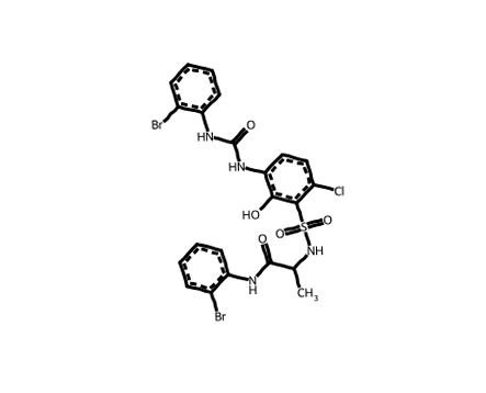 CC(NS(=O)(=O)c1c(Cl)ccc(NC(=O)Nc2ccccc2Br)c1O)C(=O)Nc1ccccc1Br